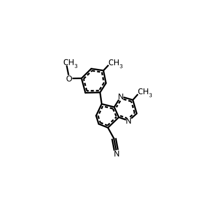 COc1cc(C)cc(-c2ccc(C#N)c3ncc(C)nc23)c1